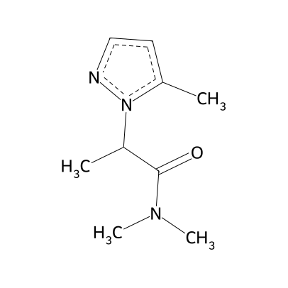 Cc1ccnn1C(C)C(=O)N(C)C